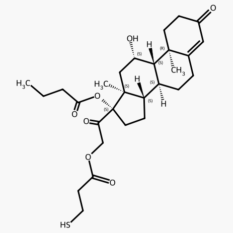 CCCC(=O)O[C@@]1(C(=O)COC(=O)CCS)CC[C@H]2[C@@H]3CCC4=CC(=O)CC[C@]4(C)[C@H]3[C@@H](O)C[C@@]21C